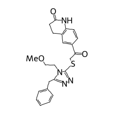 COCCn1c(Cc2ccccc2)nnc1SCC(=O)c1ccc2c(c1)CCC(=O)N2